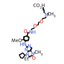 CC[C@@H]1C(=O)N(C)c2cnc(Nc3ccc(C(=O)NCCOCCOCCN(C)C/C=C/C(=O)O)cc3OC)nc2N1C1CCCC1